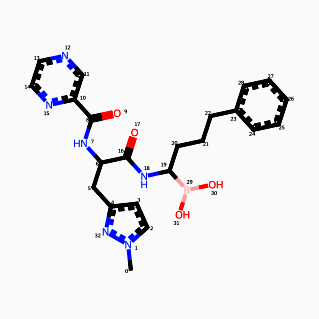 Cn1ccc(CC(NC(=O)c2cnccn2)C(=O)NC(CCCc2ccccc2)B(O)O)n1